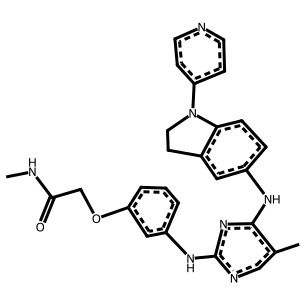 CNC(=O)COc1cccc(Nc2ncc(C)c(Nc3ccc4c(c3)CCN4c3ccncc3)n2)c1